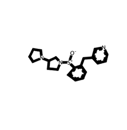 [O-][S+](c1cc[c]cc1Cc1cccnc1)N1CCC(N2CCCC2)C1